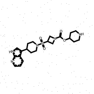 O=C(OC1CCNCC1)N1CC(S(=O)(=O)N2CCC(c3c[nH]c4ncccc34)CC2)C1